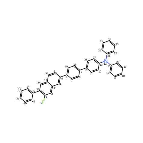 Fc1cc2cc(-c3ccc(-c4ccc(N(c5ccccc5)c5ccccc5)cc4)cc3)ccc2cc1-c1ccccc1